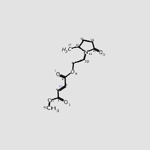 COC(=O)/C=C/C(=O)OCCN1C(=O)CCC1C